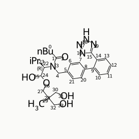 CCCCC(=O)N(Cc1ccc(-c2ccccc2-c2nn[nH]n2)cc1)[C@H](C(C)C)C(O)OCC(C)(CO)CO